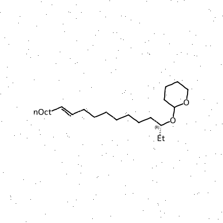 CCCCCCCCC=CCCCCCCC[C@@H](CC)OC1CCCCO1